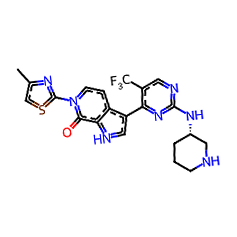 Cc1csc(-n2ccc3c(-c4nc(N[C@H]5CCCNC5)ncc4C(F)(F)F)c[nH]c3c2=O)n1